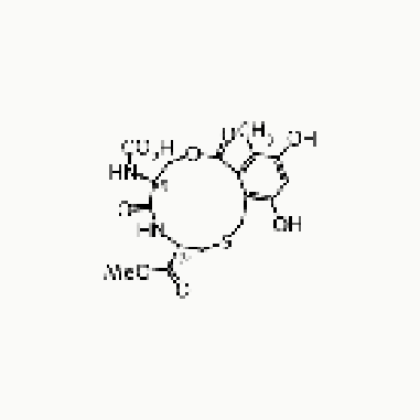 COC(=O)[C@@H]1CSCc2c(O)cc(O)c(C)c2C(=O)OC[C@H](NC(=O)O)C(=O)N1